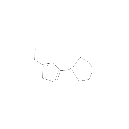 ClCc1csc(N2CCOCC2)n1